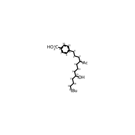 CC(=O)C(CCCc1ccc(C(=O)O)cc1)CCCC(O)CCCC(C)(C)C